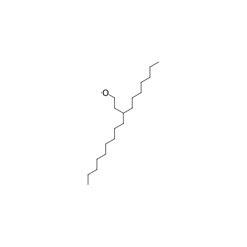 CCCCCCCCCC(CC[O])CCCCCCC